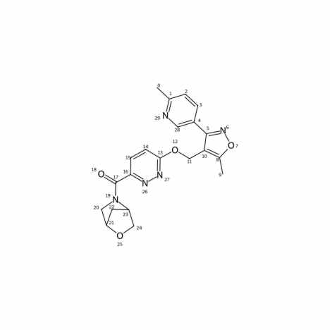 Cc1ccc(-c2noc(C)c2COc2ccc(C(=O)N3CC4CC3CO4)nn2)cn1